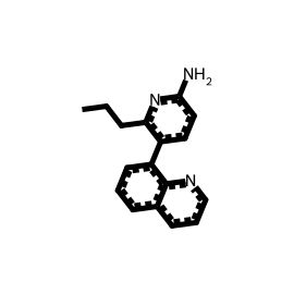 CCCc1nc(N)ccc1-c1cccc2cccnc12